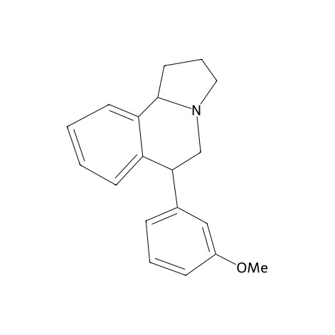 COc1cccc(C2CN3CCCC3c3ccccc32)c1